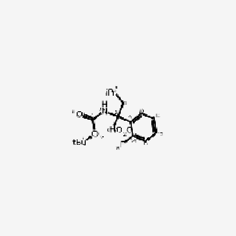 CC(C)CC(NC(=O)OC(C)(C)C)(C(=O)O)c1ccccc1F